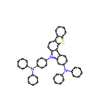 c1ccc(N(c2ccccc2)c2ccc(-n3c4cc(N(c5ccccc5)c5ccccc5)ccc4c4c5sc6ccccc6c5ccc43)cc2)cc1